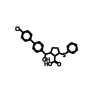 O=C(O)C1C(Sc2ccccc2)CCC1C(O)c1ccc(-c2ccc(Cl)cc2)cc1